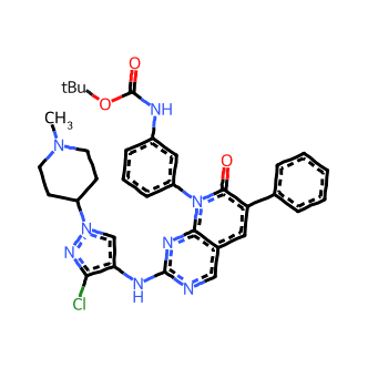 CN1CCC(n2cc(Nc3ncc4cc(-c5ccccc5)c(=O)n(-c5cccc(NC(=O)OC(C)(C)C)c5)c4n3)c(Cl)n2)CC1